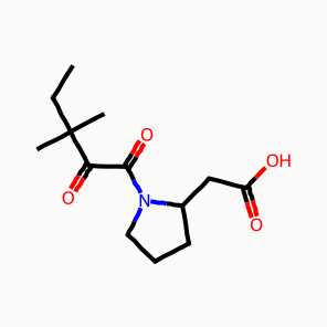 CCC(C)(C)C(=O)C(=O)N1CCCC1CC(=O)O